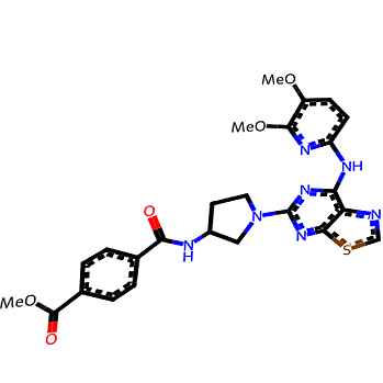 COC(=O)c1ccc(C(=O)NC2CCN(c3nc(Nc4ccc(OC)c(OC)n4)c4ncsc4n3)C2)cc1